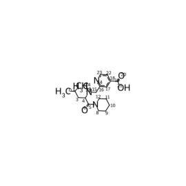 CC(C)CC(C(=O)N1CCCCC1)N(C)Cc1cc(C(=O)O)ccn1